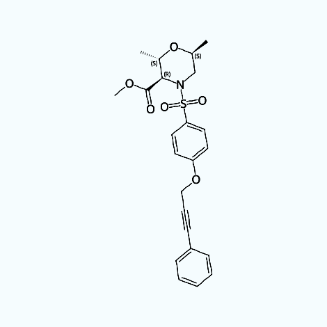 COC(=O)[C@H]1[C@H](C)O[C@@H](C)CN1S(=O)(=O)c1ccc(OCC#Cc2ccccc2)cc1